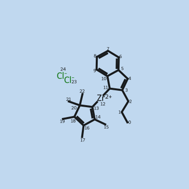 CCCC1=Cc2ccccc2[CH]1[Zr+2][C]1=C(C)C(C)=C(C)C1(C)C.[Cl-].[Cl-]